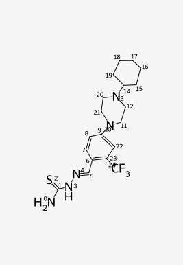 NC(=S)NN=Cc1ccc(N2CCN(C3CCCCC3)CC2)cc1C(F)(F)F